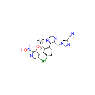 C[C@@H](Oc1cc(Br)cnc1NO)c1cc(F)ccc1-c1nccnc1Cn1cnc(C#N)c1